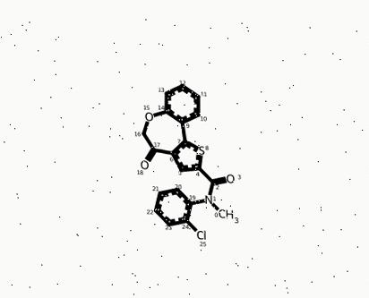 CN(C(=O)c1cc2c(s1)-c1ccccc1OCC2=O)c1ccccc1Cl